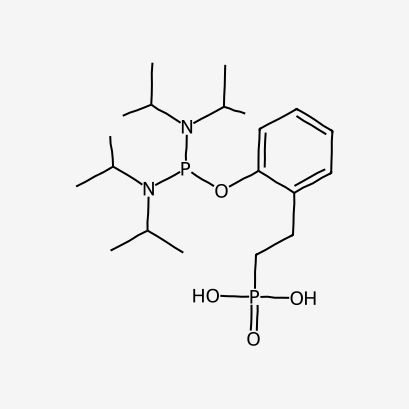 CC(C)N(C(C)C)P(Oc1ccccc1CCP(=O)(O)O)N(C(C)C)C(C)C